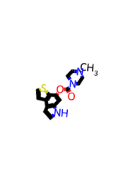 CN1CCN(C(=O)Oc2cc3[nH]ccc3c3ccsc23)CC1